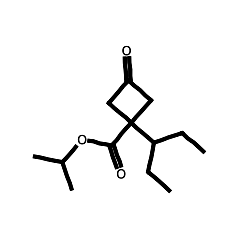 CCC(CC)C1(C(=O)OC(C)C)CC(=O)C1